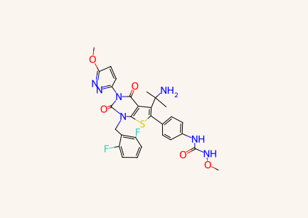 CONC(=O)Nc1ccc(-c2sc3c(c2C(C)(C)N)c(=O)n(-c2ccc(OC)nn2)c(=O)n3Cc2c(F)cccc2F)cc1